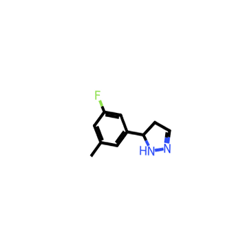 Cc1cc(F)cc(C2CC=NN2)c1